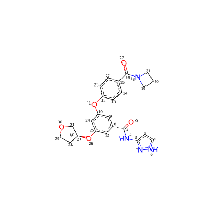 O=C(Nc1cc[nH]n1)c1cc(Oc2ccc(C(=O)N3CCC3)cc2)cc(O[C@H]2CCOC2)c1